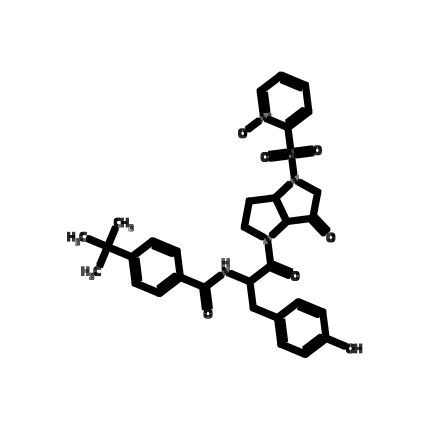 CC(C)(C)c1ccc(C(=O)NC(Cc2ccc(O)cc2)C(=O)N2CCC3C2C(=O)CN3S(=O)(=O)c2cccc[n+]2[O-])cc1